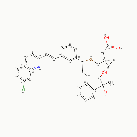 CC(O)(CO)c1ccccc1CCC(SCC1(CC(=O)O)CC1)c1cccc(C=Cc2ccc3ccc(Cl)cc3n2)c1